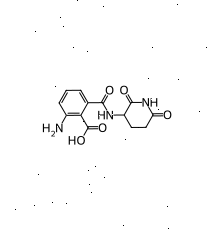 Nc1cccc(C(=O)NC2CCC(=O)NC2=O)c1C(=O)O